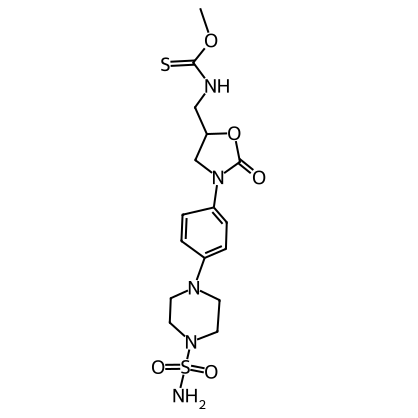 COC(=S)NCC1CN(c2ccc(N3CCN(S(N)(=O)=O)CC3)cc2)C(=O)O1